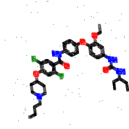 CCCCN1CCC(Oc2cc(F)c(C(=O)Nc3ccc(Oc4ccc(NC(=O)NC(CC)CC)cc4OCC)cc3)cc2F)CC1